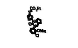 CCOC(=O)CSc1cnc(NC(=O)N(CC2CCCC2)c2cccc(Cl)c2OC)s1